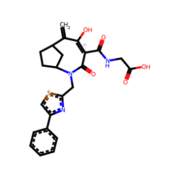 C=C1/C(O)=C(/C(=O)NCC(=O)O)C(=O)N(Cc2nc(-c3ccccc3)cs2)C2CCC1C2